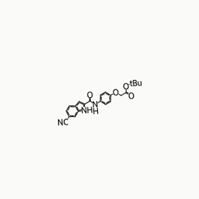 CC(C)(C)OC(=O)COc1ccc(NC(=O)c2cc3ccc(C#N)cc3[nH]2)cc1